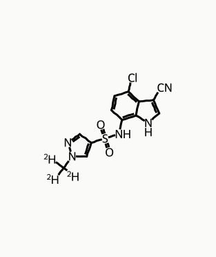 [2H]C([2H])([2H])n1cc(S(=O)(=O)Nc2ccc(Cl)c3c(C#N)c[nH]c23)cn1